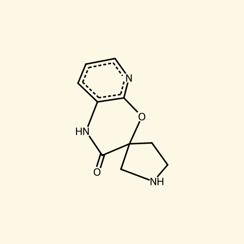 O=C1Nc2cccnc2OC12CCNC2